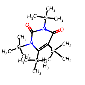 C[Si](C)(C)c1c([Si](C)(C)C)n([Si](C)(C)C)c(=O)n([Si](C)(C)C)c1=O